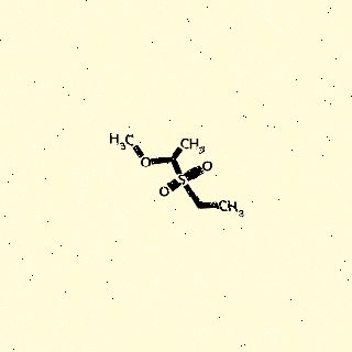 C[CH]S(=O)(=O)C(C)OC